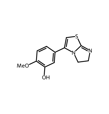 COc1ccc(C2=CSC3=NCCN23)cc1O